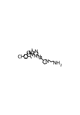 Cc1nn(C(C)c2ccc(Cl)cc2Cl)c2nc(N3CC(C4CCCN(CCCN)C4)C3)cnc12